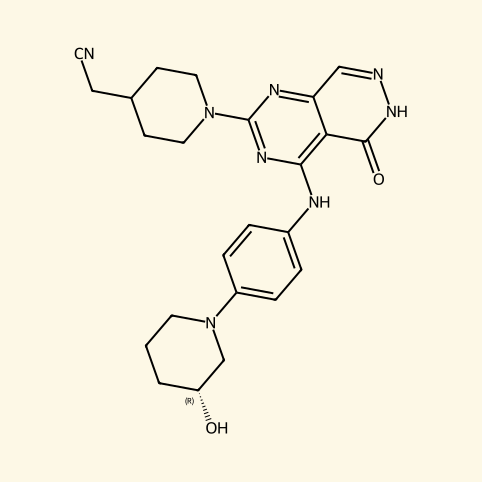 N#CCC1CCN(c2nc(Nc3ccc(N4CCC[C@@H](O)C4)cc3)c3c(=O)[nH]ncc3n2)CC1